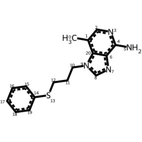 Cc1cnc(N)c2ncn(CCCSc3ccccc3)c12